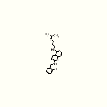 CC(C)OCCCNc1nccc2nc(NCc3ccccc3Cl)ncc12